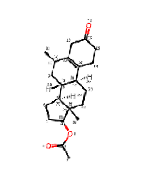 CC(=O)O[C@H]1CC[C@H]2[C@@H]3C[C@@H](C)C4=C(CCC(=O)C4)[C@H]3CC[C@]12C